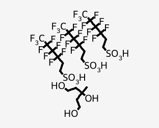 CC(O)(CCO)CCO.O=S(=O)(O)CCC(F)(F)C(F)(F)C(F)(F)C(F)(F)F.O=S(=O)(O)CCC(F)(F)C(F)(F)C(F)(F)C(F)(F)F.O=S(=O)(O)CCC(F)(F)C(F)(F)C(F)(F)C(F)(F)F